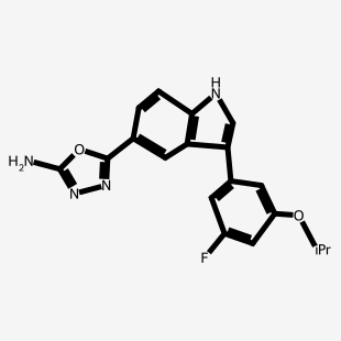 CC(C)Oc1cc(F)cc(-c2c[nH]c3ccc(-c4nnc(N)o4)cc23)c1